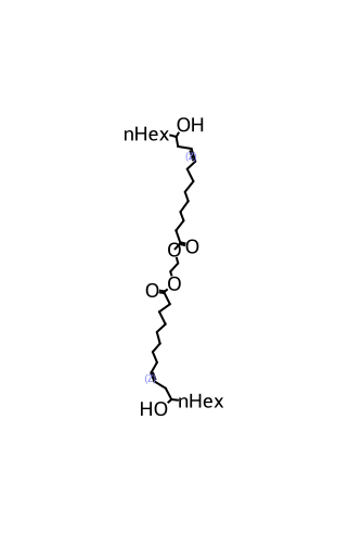 CCCCCCC(O)C/C=C\CCCCCCCC(=O)OCCOC(=O)CCCCCCC/C=C\CC(O)CCCCCC